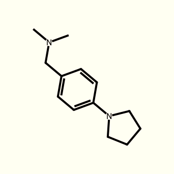 CN(C)Cc1ccc(N2CCCC2)cc1